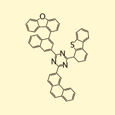 C1=Cc2c(sc3ccccc23)C(c2nc(-c3cc(-c4cccc5oc6ccccc6c45)c4ccccc4c3)nc(-c3ccc4ccc5ccccc5c4c3)n2)C1